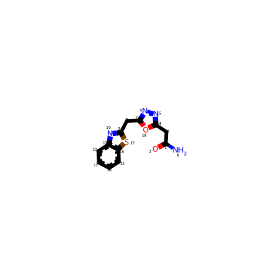 NC(=O)Cc1nnc(Cc2nc3ccccc3s2)o1